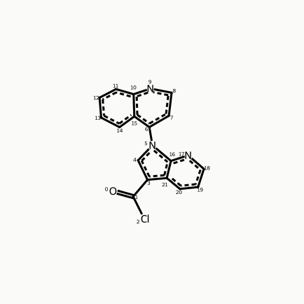 O=C(Cl)c1cn(-c2ccnc3ccccc23)c2ncccc12